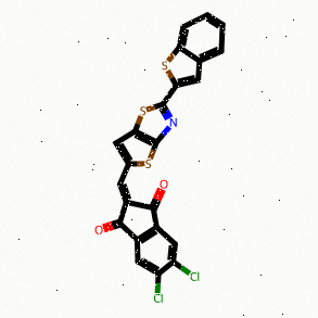 O=C1C(=Cc2cc3sc(-c4cc5ccccc5s4)nc3s2)C(=O)c2cc(Cl)c(Cl)cc21